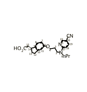 CCCN(CCCOc1ccc2c(c1)CC[C@H]2CC(=O)O)c1ccc(C#N)cn1